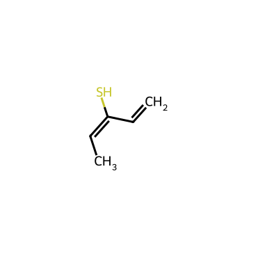 C=C/C(S)=C\C